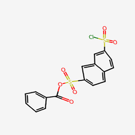 O=C(OS(=O)(=O)c1ccc2ccc(S(=O)(=O)Cl)cc2c1)c1ccccc1